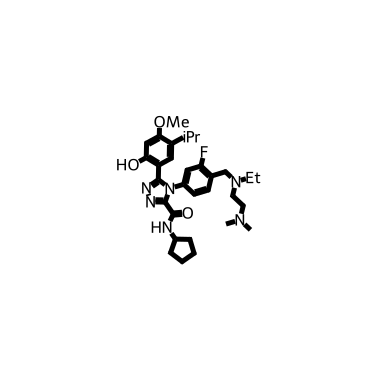 CCN(CCN(C)C)Cc1ccc(-n2c(C(=O)NC3CCCC3)nnc2-c2cc(C(C)C)c(OC)cc2O)cc1F